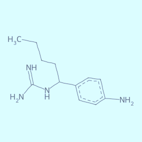 CCCCC(NC(=N)N)c1ccc(N)cc1